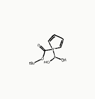 CC(C)(C)OC(=O)[N+]1(B(O)O)C=CC=C1